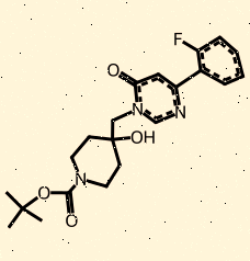 CC(C)(C)OC(=O)N1CCC(O)(Cn2cnc(-c3ccccc3F)cc2=O)CC1